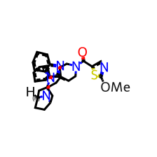 COc1ncc(C(=O)N2CCC(CCN3C4CC[C@@H]3CC(n3c(C)nc5ccccc53)C4)(c3ccccc3)CC2)s1